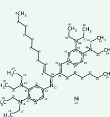 CCCCCCCCC=CC(=Nc1ccc(N(CC)CC)c(N(CC)CC)c1)C(CCCCCC)=Nc1ccc(N(CC)CC)c(N(CC)CC)c1.[Ni]